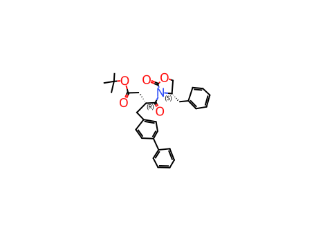 CC(C)(C)OC(=O)C[C@@H](Cc1ccc(-c2ccccc2)cc1)C(=O)N1C(=O)OC[C@@H]1Cc1ccccc1